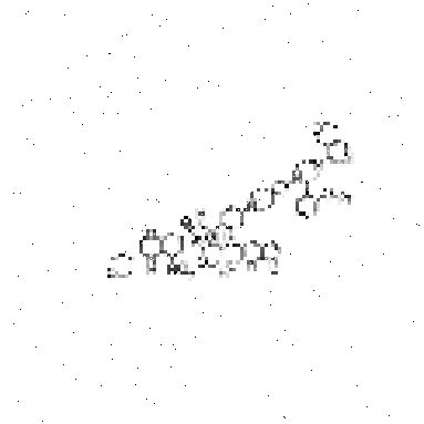 CC(C)Oc1ccccc1[C@@H]1CN(c2cncc3c2COCC3)CCN1C1CC2(CCN(c3ccc(C(=O)NS(=O)(=O)c4cc5c(c([N+](=O)[O-])c4)N[C@H](C4CCOCC4)CO5)c(N4c5cc6cc[nH]c6nc5O[C@H]5COCC[C@@H]54)c3)CC2)C1